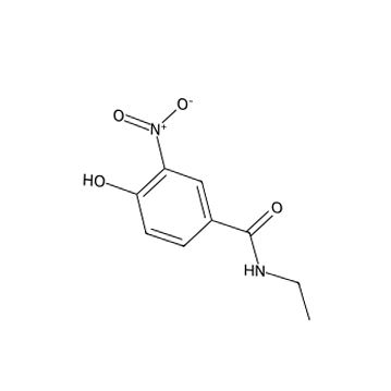 CCNC(=O)c1ccc(O)c([N+](=O)[O-])c1